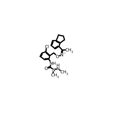 CNN(C)C(=O)Nc1cccc(Cl)c1CO/N=C(/C)c1cccc2c1CCC2